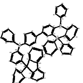 c1ccc(N(c2ccc(-c3ccc4c(c3)[Si](c3ccccc3)(c3ccccc3)c3ccccc3N4c3ccccc3)cc2)c2cccc(C3(c4ccccc4)c4ccccc4-c4ccccc43)c2)cc1